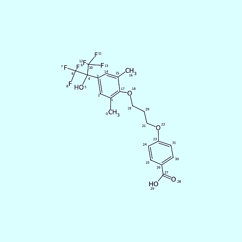 Cc1cc(C(O)(C(F)(F)F)C(F)(F)F)cc(C)c1OCCCOc1ccc(C(=O)O)cc1